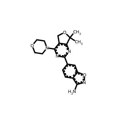 CC1(C)OCc2c(N3CCOCC3)nc(-c3ccc4c(N)noc4c3)nc21